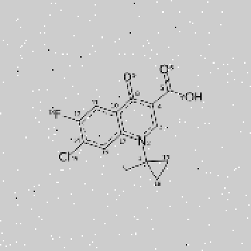 CC1(n2cc(C(=O)O)c(=O)c3cc(F)c(Cl)cc32)CC1